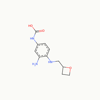 Nc1cc(NC(=O)O)ccc1NCC1CCO1